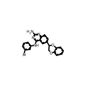 Nc1nc(Nc2cccc(Br)c2)c2cc(C3COc4ccccc4O3)ccc2n1